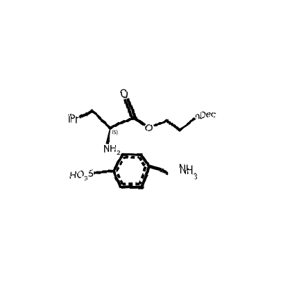 CCCCCCCCCCCCOC(=O)[C@@H](N)CC(C)C.Cc1ccc(S(=O)(=O)O)cc1.N